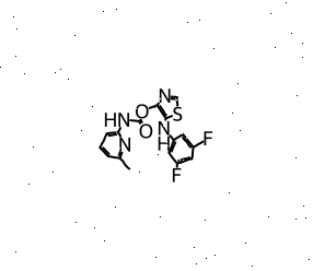 Cc1cccc(NC(=O)Oc2ncsc2Nc2cc(F)cc(F)c2)n1